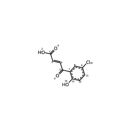 O=C(O)C=CC(=O)c1cc(Cl)ccc1O